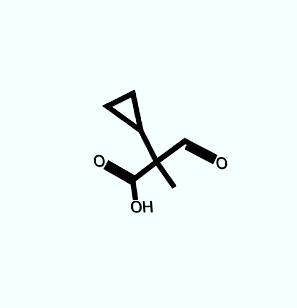 CC(C=O)(C(=O)O)C1CC1